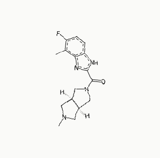 Cc1c(F)ccc2[nH]c(C(=O)N3C[C@H]4CN(C)C[C@H]4C3)nc12